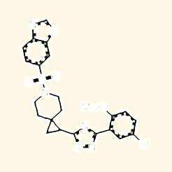 COc1ccc(Cl)cc1-c1noc(C2CC23CCN(S(=O)(=O)c2ccc4ncsc4c2)CC3)n1